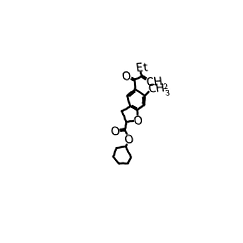 C=C(CC)C(=O)c1cc2c(cc1C)OC(C(=O)OC1CCCCC1)C2